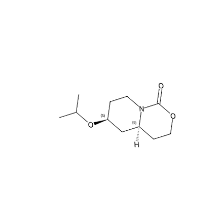 CC(C)O[C@H]1CCN2C(=O)OCC[C@H]2C1